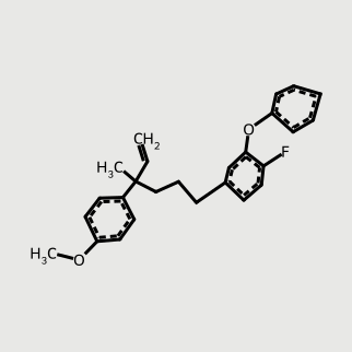 C=CC(C)(CCCc1ccc(F)c(Oc2ccccc2)c1)c1ccc(OC)cc1